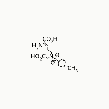 Cc1ccc(S(=O)(=O)N(CCC[C@H](N)C(=O)O)CC(=O)O)cc1